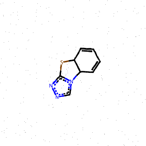 [c]1nnc2n1C1C=CC=CC1S2